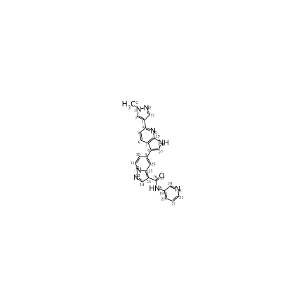 Cn1cc(-c2ccc3c(-c4ccn5ncc(C(=O)Nc6cccnc6)c5c4)c[nH]c3n2)cn1